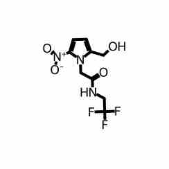 O=C(Cn1c(CO)ccc1[N+](=O)[O-])NCC(F)(F)F